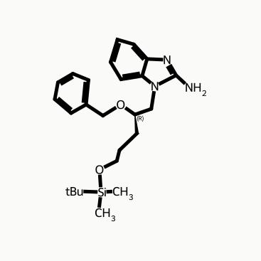 CC(C)(C)[Si](C)(C)OCCC[C@H](Cn1c(N)nc2ccccc21)OCc1ccccc1